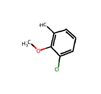 [CH]c1cccc(Cl)c1OC